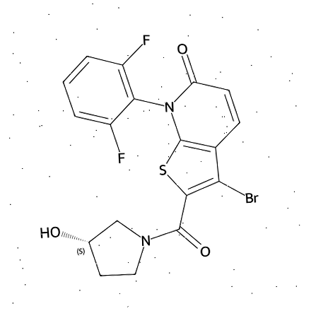 O=C(c1sc2c(ccc(=O)n2-c2c(F)cccc2F)c1Br)N1CC[C@H](O)C1